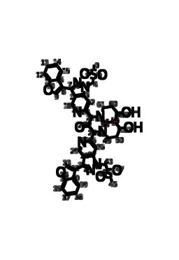 CS(=O)(=O)Cn1nc(-c2coc3ccccc23)c2cnc(C(C(=O)C(c3cc4c(cn3)c(-c3coc5ccccc35)nn4CS(C)(=O)=O)N3CCC(O)CC3)N3CCC(O)CC3)cc21